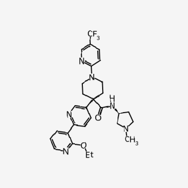 CCOc1ncccc1-c1ccc(C2(C(=O)N[C@H]3CCN(C)C3)CCN(c3ccc(C(F)(F)F)cn3)CC2)cn1